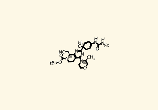 CCNC(=O)NC1=CCC(C)(c2nc3c(c(N4CCOC[C@@H]4C)n2)CCN(C(=O)OC(C)(C)C)[C@H]3CC#N)C=C1